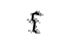 CC(C)(C)N=NC(C)(C)SCCC(=O)OCCSC(C)(C)N=NC(C)(C)SCCOC(=O)CCSC(C)(C)N=NC(C)(C)C